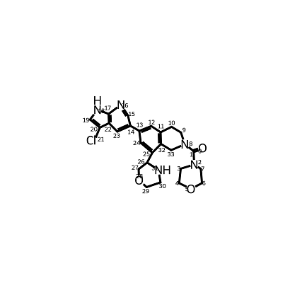 O=C(N1CCOCC1)N1CCc2cc(-c3cnc4[nH]cc(Cl)c4c3)cc(C3COCCN3)c2C1